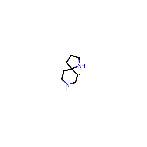 [CH]1CNCCC12CCCN2